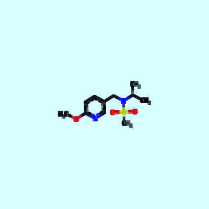 COc1ccc(CN(C(C)C)S(C)(=O)=O)cn1